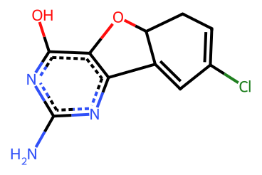 Nc1nc(O)c2c(n1)C1=CC(Cl)=CCC1O2